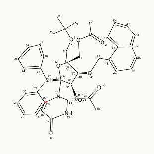 CC(=O)OC[C@]1(COC(C)(C)C)O[C@](n2ccc(=O)[nH]c2=O)([SiH](c2ccccc2)c2ccccc2)[C@H](OC(C)=O)[C@@H]1OCc1cccc2ccccc12